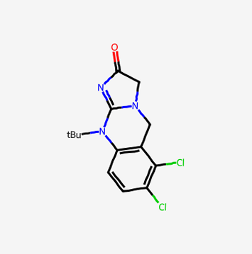 CC(C)(C)N1C2=NC(=O)CN2Cc2c1ccc(Cl)c2Cl